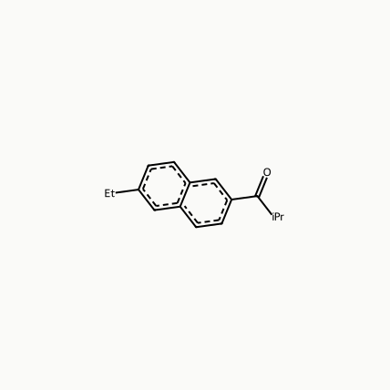 CCc1ccc2cc(C(=O)C(C)C)ccc2c1